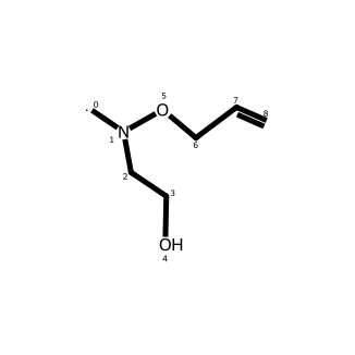 [CH2]N(CCO)OCC=C